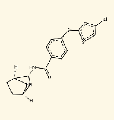 O=C(N[C@@H]1C[C@H]2CC[C@@H]1N2)c1ccc(Sc2cc(Cl)cs2)cc1